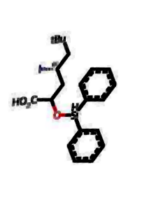 CC(C)(C)C[C@@H](I)CC(O[SiH](c1ccccc1)c1ccccc1)C(=O)O